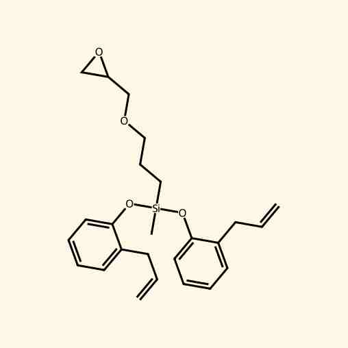 C=CCc1ccccc1O[Si](C)(CCCOCC1CO1)Oc1ccccc1CC=C